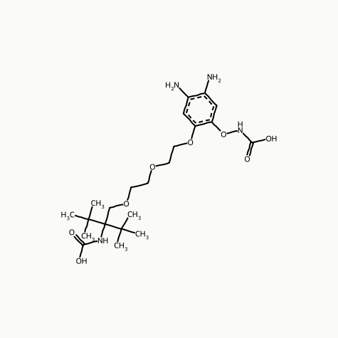 CC(C)(C)C(COCCOCCOc1cc(N)c(N)cc1ONC(=O)O)(NC(=O)O)C(C)(C)C